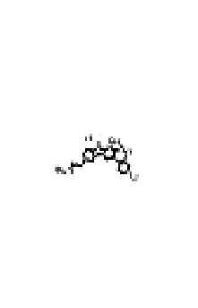 CC(C)CON=Cc1ccc2c(c1)c1cc(-c3ccc(Cl)cc3Cl)c(=O)n(C)c1n2C